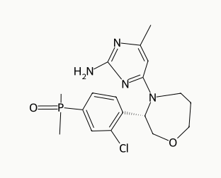 Cc1cc(N2CCCOC[C@@H]2c2ccc(P(C)(C)=O)cc2Cl)nc(N)n1